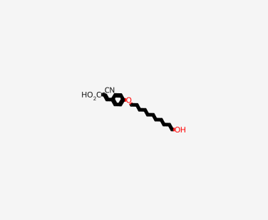 N#C/C(=C\c1ccc(OCCCCCCCCCCCO)cc1)C(=O)O